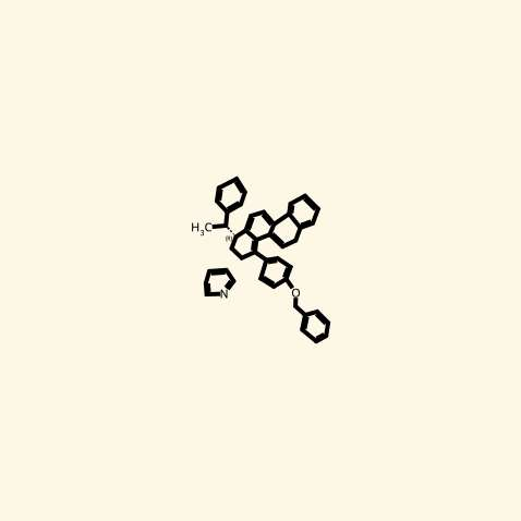 CC(c1ccccc1)[C@H]1CCC(c2ccc(OCc3ccccc3)cc2)=c2c1ccc1c2=CCc2ccccc2-1.c1ccncc1